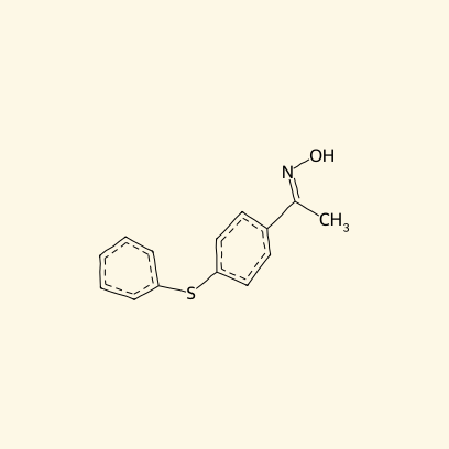 CC(=NO)c1ccc(Sc2ccccc2)cc1